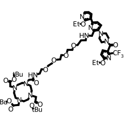 CCOc1ccc(C(=O)N2CCN(c3ccc(-c4cccnc4OCC)nc3CNCCCOCCOCCOCCOCCNC(=O)CN3CCN(CC(=O)OC(C)(C)C)CCN(CC(=O)OC(C)(C)C)CCN(CC(=O)OC(C)(C)C)CC3)CC2)c(C(F)(F)F)n1